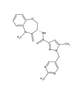 Cc1ncc(Cn2nc(C(=O)N[C@H]3COc4ccccc4N(C)C3=O)cc2C)cn1